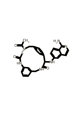 CC(=O)N1CC(=O)Nc2cccc(c2)CNC(=O)C(Nc2ccc3c(N)nccc3c2)c2ccc(cc2)C1